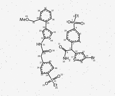 CCS(=O)(=O)c1ccc(C(C(N)=O)c2cc(Br)cs2)cc1.CCS(=O)(=O)c1ccc(CC(=O)Nc2cc(-c3ccccc3COC)cs2)cc1